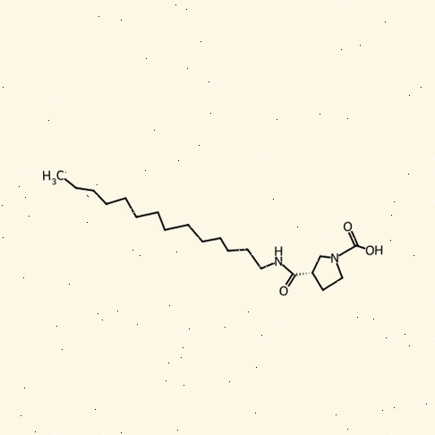 CCCCCCCCCCCCCCNC(=O)[C@H]1CCN(C(=O)O)C1